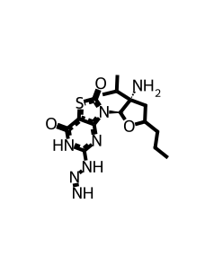 CCCC1C[C@](N)(C(C)C)[C@H](n2c(=O)sc3c(=O)[nH]c(NN=N)nc32)O1